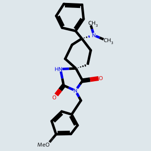 COc1ccc(CN2C(=O)N[C@]3(CC[C@@](c4ccccc4)(N(C)C)CC3)C2=O)cc1